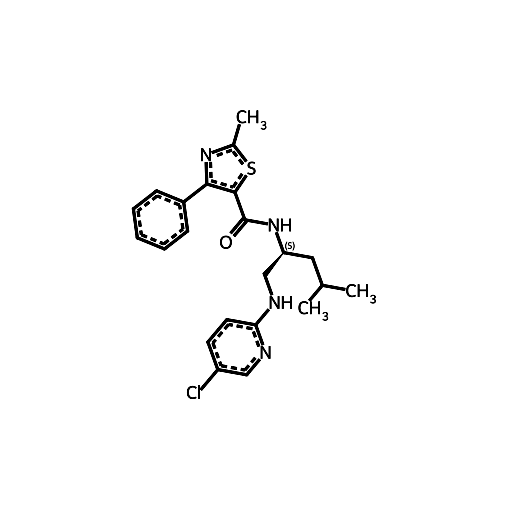 Cc1nc(-c2ccccc2)c(C(=O)N[C@H](CNc2ccc(Cl)cn2)CC(C)C)s1